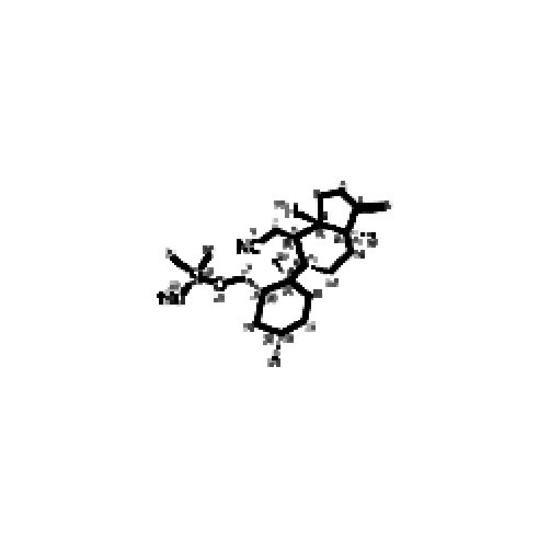 C=C1CC[C@H]2[C@H](CC#N)[C@@H]([C@@]3(C)CC[C@H](C)C[C@@H]3CO[Si](C)(C)C(C)(C)C)CC[C@]12C